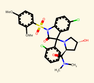 COc1ccc(S(=O)(=O)N2C(=O)C(c3ccccc3Cl)(N3C[C@H](O)C[C@H]3C(=O)N(C)C)c3cc(Cl)ccc32)c(OC)c1